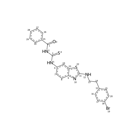 O=C(NC(=S)Nc1ccc2nc(NCCc3ccc(Br)cc3)sc2c1)c1ccccc1